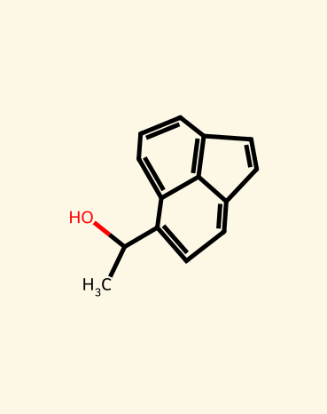 CC(O)c1ccc2c3c(cccc13)C=C2